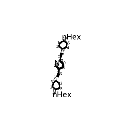 CCCCCC[C@H]1CC[C@H](C#Cc2ccc(C#C[C@H]3CC[C@H](CCCCCC)CC3)nc2)CC1